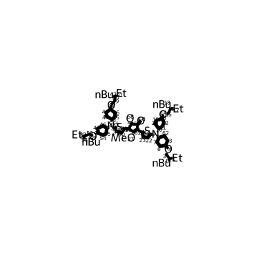 CCCCC(CC)COc1ccc(N(c2ccc(OCC(CC)CCCC)cc2)c2ccc(C3=C(OC)/C(=C4\C=CC(=[N+](c5ccc(OCC(CC)CCCC)cc5)c5ccc(OCC(CC)CCCC)cc5)S4)C(=O)C3=O)s2)cc1